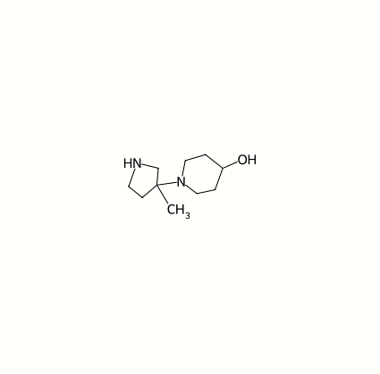 CC1(N2CCC(O)CC2)CCNC1